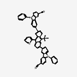 CC(C)(C)c1c2ccc(-c3ccc4c(c3)c3cc(C#N)ccc3n4-c3ccccc3)cc2c(-c2ccccn2)c2ccc(-c3ccc4c(c3)c3cc(C#N)ccc3n4-c3ccccc3)cc12